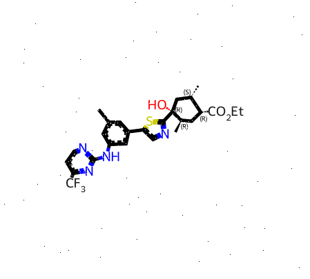 CCOC(=O)[C@@H]1C[C@@H](C)[C@@](O)(c2ncc(-c3cc(C)cc(Nc4nccc(C(F)(F)F)n4)c3)s2)C[C@@H]1C